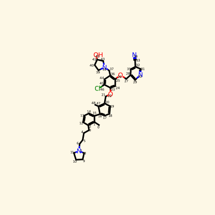 Cc1c(CCCCN2CCCC2)cccc1-c1cccc(COc2cc(OCc3cncc(C#N)c3)c(CN3CCC(O)C3)cc2Cl)c1C